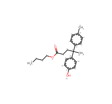 CCCCOC(=O)CCC(C)(c1ccc(C)cc1)c1ccc(O)cc1